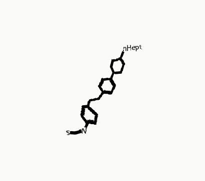 CCCCCCCC1CCC(c2ccc(CCc3ccc(N=C=S)cc3)cc2)CC1